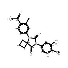 Cc1cc(N2C(=S)N(c3cnc(C#N)c(C(F)(F)F)c3)C(=O)C23CCC3)ccc1C(N)=O